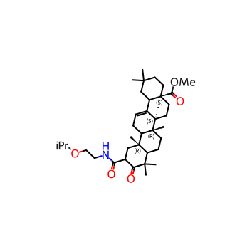 COC(=O)[C@]12CCC(C)(C)CC1C1=CCC3[C@@]4(C)CC(C(=O)NCCOC(C)C)C(=O)C(C)(C)C4CC[C@@]3(C)[C@]1(C)CC2